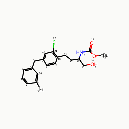 CCc1cccc(Cc2ccc(CCC(CO)NC(=O)OC(C)(C)C)c(Cl)c2)c1